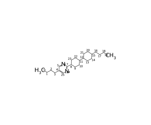 CCCCc1cnc(C2CCC(C3CCC(CCCC)CC3)CC2)nc1